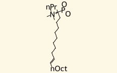 CCCCCCCCC=CCCCCCCCCC(CCC)(P(=O)=O)[N+](C)(C)C